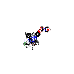 CC[C@@H](CNc1ccc(OCC(=O)N2CCOCC2)cc1OC)NC(=O)[C@H](CC(C)(C)F)N[C@@H](c1ccccc1)C(F)(F)F